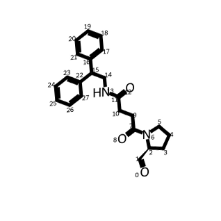 O=C[C@@H]1CCCN1C(=O)CCC(=O)NCC(c1ccccc1)c1ccccc1